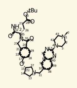 CN1CCN(c2ncc3cc(CN4CC[C@H](Oc5ccc6c(c5)CN([C@@H](CCC(=O)OC(C)(C)C)C(N)=O)C6=O)C4)ccc3n2)CC1